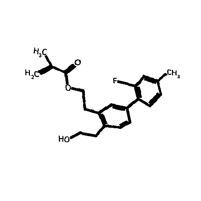 C=C(C)C(=O)OCCc1cc(-c2ccc(C)cc2F)ccc1CCO